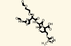 Cn1nnnc1SCC1=C(C(=O)O)N2C(=O)C(NC(=O)/C(=N/OCCOC=O)c3csc(NC=O)n3)[C@H]2SC1